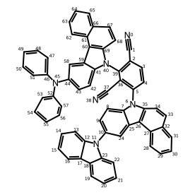 N#Cc1ccc(-n2c3ccc(-n4c5ccccc5c5ccccc54)cc3c3c4ccccc4ccc32)c(C#N)c1-n1c2ccc(N(c3ccccc3)c3ccccc3)cc2c2c3ccccc3ccc21